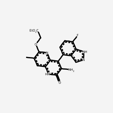 CCOC(=O)COc1nc2c(-c3ccc(F)c4[nH]ncc34)c(N)c(=O)[nH]c2cc1C